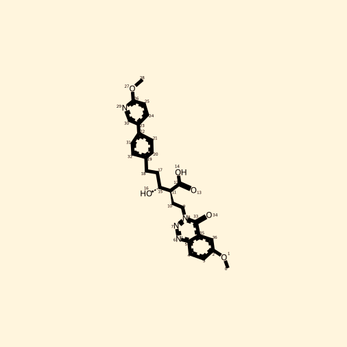 COc1ccc2nnn(CC[C@H](C(=O)O)[C@H](O)CCc3ccc(-c4ccc(OC)nc4)cc3)c(=O)c2c1